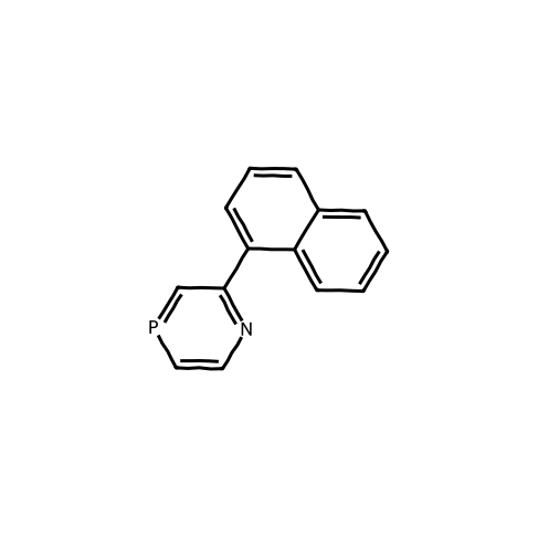 c1ccc2c(-c3cpccn3)cccc2c1